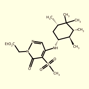 CCOC(=O)Cn1ncc(N[C@@H]2C[C@H](C)C(C)(C)[C@H](C)[C@H]2C)c(S(C)(=O)=O)c1=O